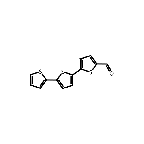 O=Cc1c[c]c(-c2ccc(-c3cccs3)s2)s1